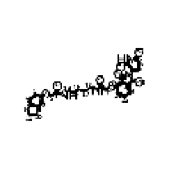 O=C(COc1ccc2c(c1)CCC2)NCCCCCNC(=O)COc1cccc2c1C(=O)N(C1CCC(=O)NC1=O)C2=O